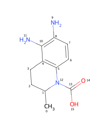 CC1CCc2c(ccc(N)c2N)N1C(=O)O